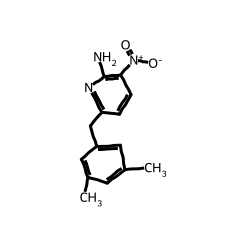 Cc1cc(C)cc(Cc2ccc([N+](=O)[O-])c(N)n2)c1